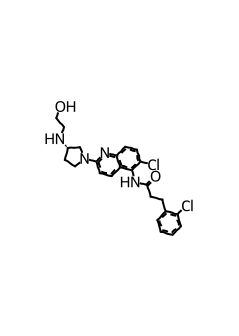 O=C(CCc1ccccc1Cl)Nc1c(Cl)ccc2nc(N3CC[C@H](NCCO)C3)ccc12